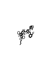 CCCCOC(=O)n1c2nc(-c3cc(-c4ccon4)n(Cc4ccccc4F)n3)ncc2c(=O)n1C